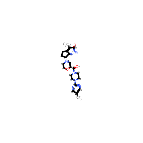 O=C([C@@H]1CN([C@@H]2CCc3c2n[nH]c(=O)c3C(F)(F)F)CCO1)N1CCN(c2ncc(C(F)(F)F)cn2)CC1